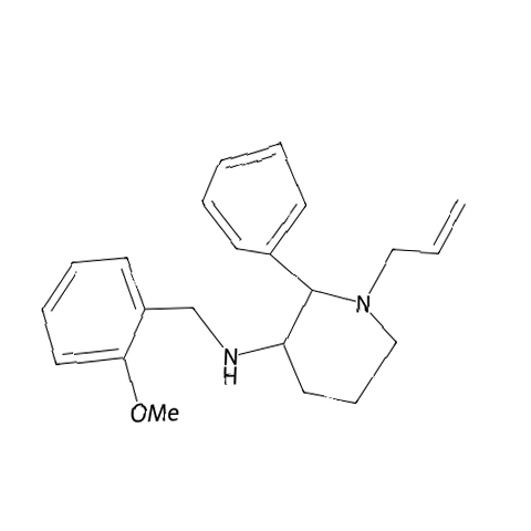 C=CCN1CCCC(NCc2ccccc2OC)C1c1ccccc1